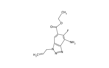 C=CCn1nnc2c(N)c(F)c(C(=O)OCC)cc21